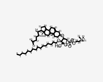 CCCCCCCCCCCCCCCCOC(C(=O)O)C(COP(=O)([O-])OCC[N+](C)(C)C)OC1CC[C@@]2(C)C(=CCC3C2CC[C@@]2(C)C3CC[C@@H]2[C@H](C)CCCC(C)C)C1